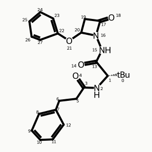 CC(C)(C)[C@H](NC(=O)CCc1ccccc1)C(=O)NN1C(=O)CC1Oc1ccccc1